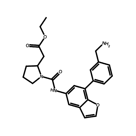 CCOC(=O)CC1CCCN1C(=O)Nc1cc(-c2cccc(CN)c2)c2occc2c1